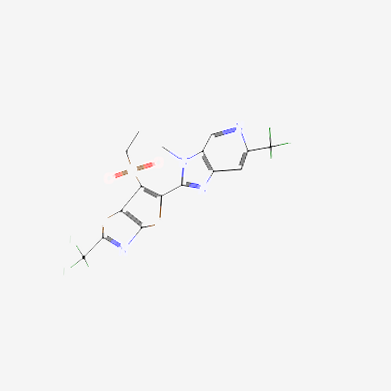 CCS(=O)(=O)c1c(-c2nc3cc(C(F)(F)F)ncc3n2C)sc2nc(C(F)(F)F)sc12